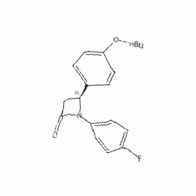 CCCCOc1ccc([C@@H]2CC(=O)N2c2ccc(F)cc2)cc1